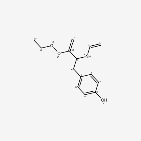 C=CNC(Cc1ccc(O)cc1)C(=O)OOCC